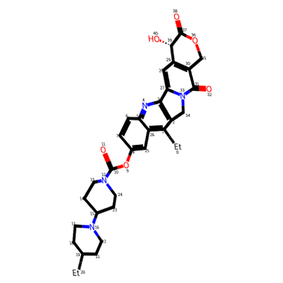 CCc1c2c(nc3ccc(OC(=O)N4CCC(N5CCC(CC)CC5)CC4)cc13)-c1cc3c(c(=O)n1C2)COC(=O)[C@H]3O